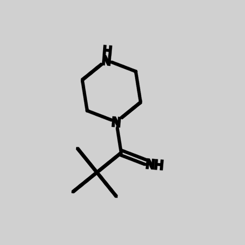 CC(C)(C)C(=N)N1CCNCC1